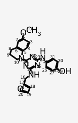 COc1ccc2c(c1)CCCN2c1nc(NCc2ccco2)nc(Nc2ccc(O)cc2)n1